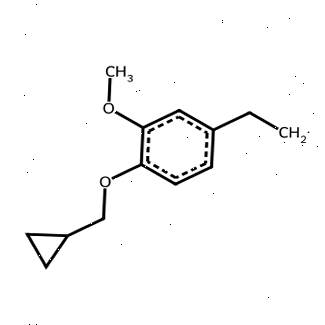 [CH2]Cc1ccc(OCC2CC2)c(OC)c1